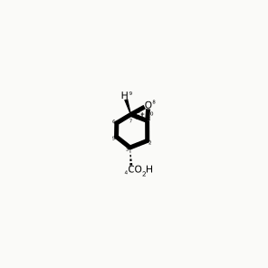 CC[C@@]12C[C@H](C(=O)O)CC[C@@H]1O2